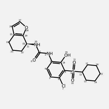 O=C(Nc1ccc(Cl)c(S(=O)(=O)C2CCCCC2)c1O)N[C@H]1CCCc2ccoc21